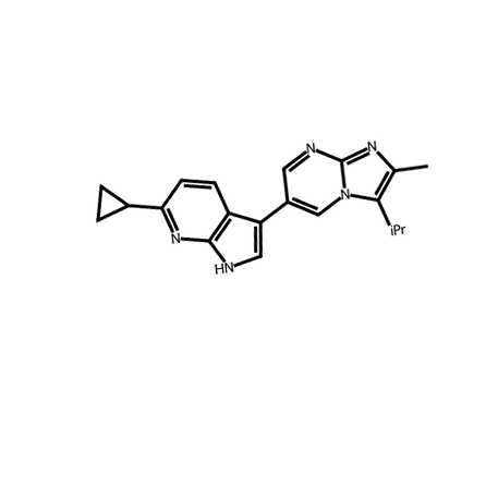 Cc1nc2ncc(-c3c[nH]c4nc(C5CC5)ccc34)cn2c1C(C)C